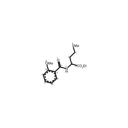 CCOC(=O)C(CCSC)NC(=O)c1ccccc1OC